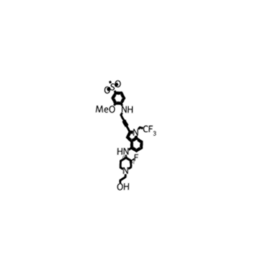 COc1cc(S(C)(=O)=O)ccc1NCC#Cc1cc2c(N[C@@H]3CCN(CCO)C[C@@H]3F)cccc2n1CC(F)(F)F